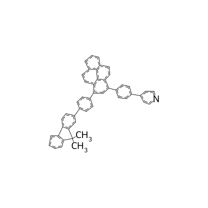 CC1(C)c2ccccc2-c2ccc(-c3ccc(-c4cc(-c5ccc(-c6ccncc6)cc5)c5ccc6cccc7ccc4c5c67)cc3)cc21